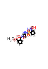 COC(=O)c1ccccc1C(=O)N1CC(NS(=O)(=O)c2ccccc2NO)CO1